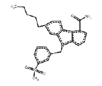 CCCCCc1c[c]c2c3c(C(N)=O)cccc3n(Cc3cccc(S(C)(=O)=O)c3)c2c1